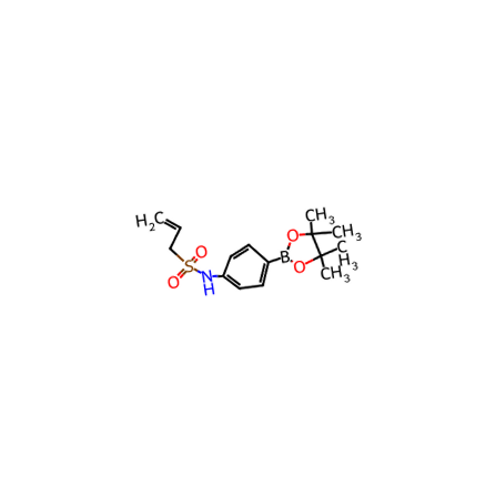 C=CCS(=O)(=O)Nc1ccc(B2OC(C)(C)C(C)(C)O2)cc1